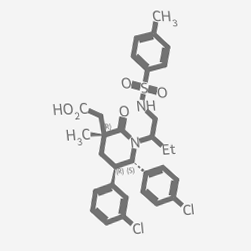 CCC(CNS(=O)(=O)c1ccc(C)cc1)N1C(=O)[C@@](C)(CC(=O)O)C[C@H](c2cccc(Cl)c2)[C@H]1c1ccc(Cl)cc1